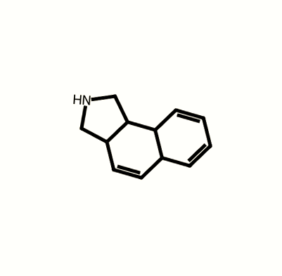 C1=CC2C=CC3CNCC3C2C=C1